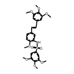 COc1ccc(C=Cc2cc(OC)c(OC)c(OC)c2)cc1NS(=O)(=O)c1cc(OC)c(OC)c(OC)c1